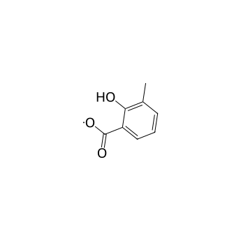 Cc1cccc(C([O])=O)c1O